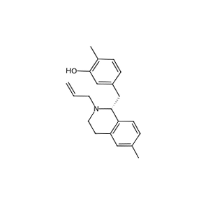 C=CCN1CCc2cc(C)ccc2[C@H]1Cc1ccc(C)c(O)c1